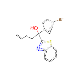 C=CCCC(O)(c1ccc(Br)cc1)c1nc2ccccc2s1